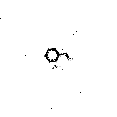 O=Cc1ccccc1.[BaH2]